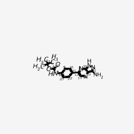 CC(C)(C)OC(=O)Nc1ccc(-c2cnc3c(N)n[nH]c3n2)cc1